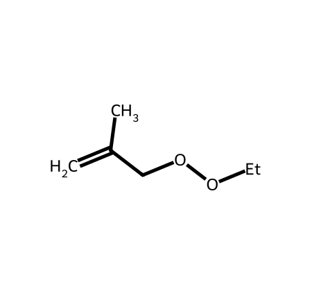 C=C(C)COOCC